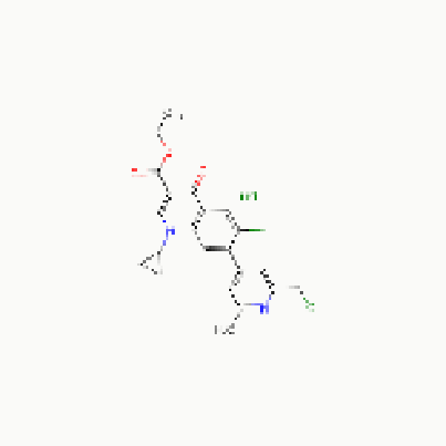 CCOC(=O)c1cn(C2CC2)c2cc(-c3cc(C)nc(CCl)c3)c(F)cc2c1=O.Cl